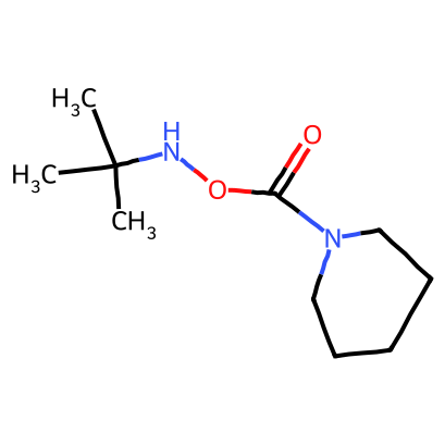 CC(C)(C)NOC(=O)N1CCCCC1